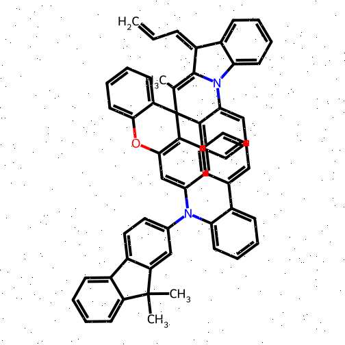 C=C/C=c1\c2n(c3ccccc13)-c1ccccc1C1(C=2C)c2ccccc2Oc2cc(N(c3ccc4c(c3)C(C)(C)c3ccccc3-4)c3ccccc3-c3ccccc3)ccc21